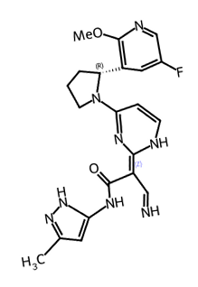 COc1ncc(F)cc1[C@H]1CCCN1C1=N/C(=C(/C=N)C(=O)Nc2cc(C)n[nH]2)NC=C1